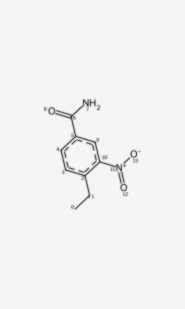 C[CH]c1ccc(C(N)=O)cc1[N+](=O)[O-]